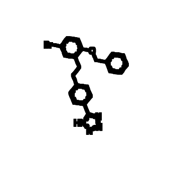 Brc1ccc(OCc2ccccc2)c(CCc2ccc(-c3nnn[nH]3)cc2)c1